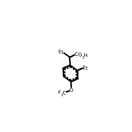 CCc1cc(OC(F)(F)F)ccc1C(CC)C(=O)O